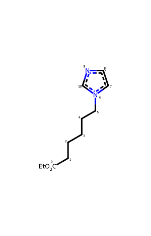 CCOC(=O)CCCCCn1c[c]nc1